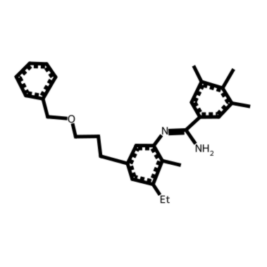 CCc1cc(CCCOCc2ccccc2)cc(/N=C(\N)c2cc(C)c(C)c(C)c2)c1C